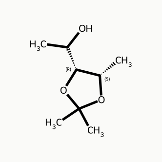 CC(O)[C@H]1OC(C)(C)O[C@H]1C